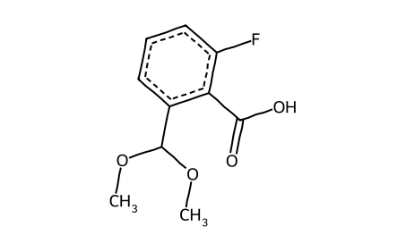 COC(OC)c1cccc(F)c1C(=O)O